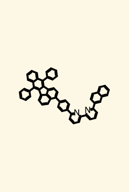 c1ccc(-c2c3c(c(-c4ccccc4)c4ccccc24)-c2ccc(-c4ccc(-c5cccc(-c6cccc(-c7ccc8ccccc8c7)n6)n5)cc4)c4cccc-3c24)cc1